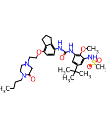 CCCCN1CCN(CCOc2ccc(NC(=O)Nc3cc(C(C)(C)C)cc(NS(C)(=O)=O)c3OC)c3c2CCC3)CC1=O